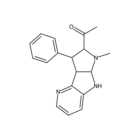 CC(=O)C1C(c2ccccc2)C2c3ncccc3NC2N1C